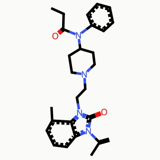 C=C(C)n1c(=O)n(CCN2CCC(N(C(=O)CC)c3ccccc3)CC2)c2c(C)cccc21